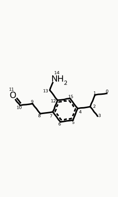 CCC(C)c1ccc(CCC=O)c(CN)c1